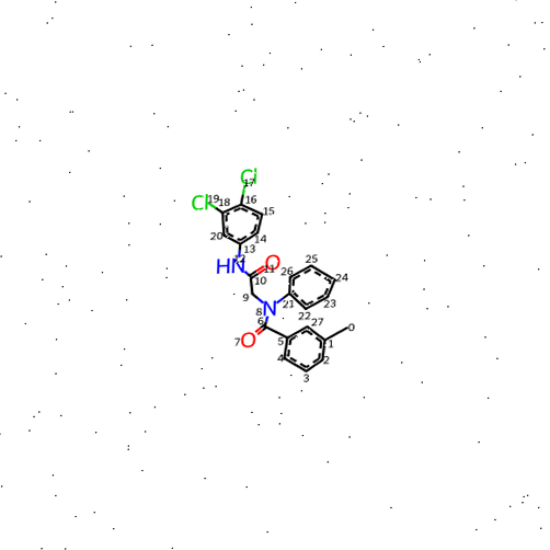 Cc1cccc(C(=O)N(CC(=O)Nc2ccc(Cl)c(Cl)c2)c2ccccc2)c1